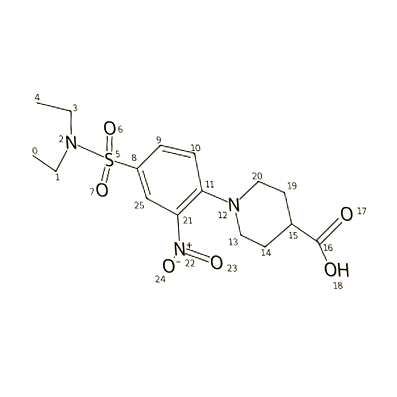 CCN(CC)S(=O)(=O)c1ccc(N2CCC(C(=O)O)CC2)c([N+](=O)[O-])c1